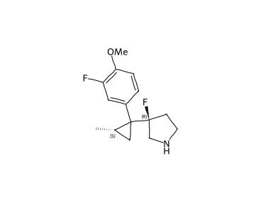 COc1ccc(C2([C@]3(F)CCNC3)C[C@@H]2C)cc1F